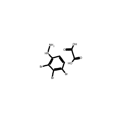 NNc1ccc(Br)c(Br)c1Br.O=C(O)C(=O)O